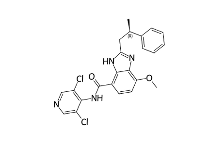 COc1ccc(C(=O)Nc2c(Cl)cncc2Cl)c2[nH]c(C[C@@H](C)c3ccccc3)nc12